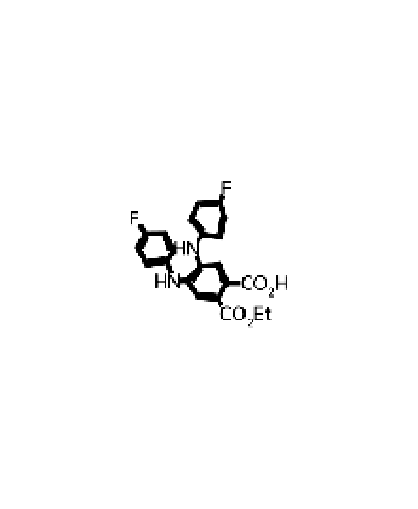 CCOC(=O)c1cc(Nc2ccc(F)cc2)c(Nc2ccc(F)cc2)cc1C(=O)O